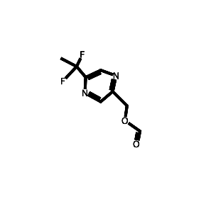 CC(F)(F)c1cnc(COC=O)cn1